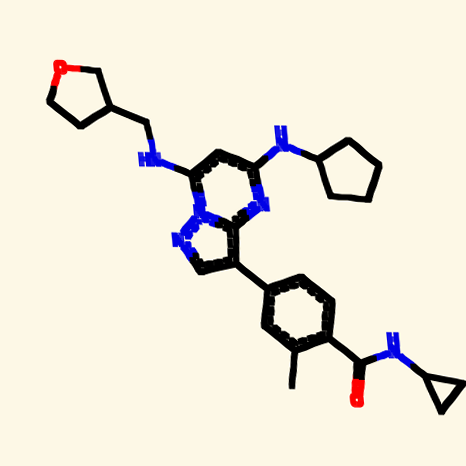 Cc1cc(-c2cnn3c(NCC4CCOC4)cc(NC4CCCC4)nc23)ccc1C(=O)NC1CC1